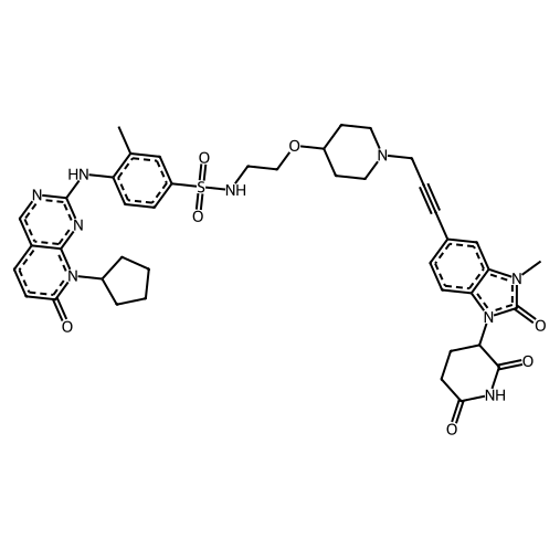 Cc1cc(S(=O)(=O)NCCOC2CCN(CC#Cc3ccc4c(c3)n(C)c(=O)n4C3CCC(=O)NC3=O)CC2)ccc1Nc1ncc2ccc(=O)n(C3CCCC3)c2n1